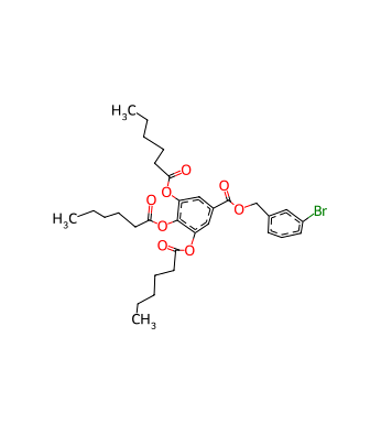 CCCCCC(=O)Oc1cc(C(=O)OCc2cccc(Br)c2)cc(OC(=O)CCCCC)c1OC(=O)CCCCC